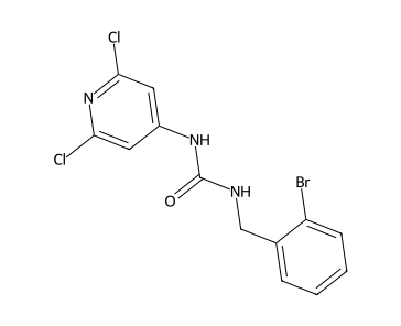 O=C(NCc1ccccc1Br)Nc1cc(Cl)nc(Cl)c1